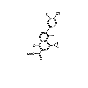 COC(=O)c1cc(C2CC2)c2c(C)c(-c3ccc(C#N)c(F)c3)ccn2c1=O